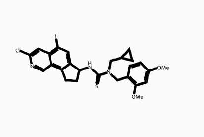 COc1ccc(CN(CC2CC2)C(=S)NC2CCc3c2cc(I)c2cc(Cl)ncc32)c(OC)c1